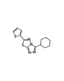 c1csc(-c2nn3c(C4CCCCC4)nnc3s2)c1